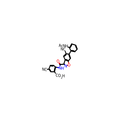 CC(=O)Nc1ccccc1-c1cc2onc(C(=O)Nc3ccc(C#N)cc3C(=O)O)c2cc1C#N